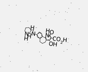 O=C(O)c1c(O)c2c([nH]c1=O)-c1ccc(N3C[C@H]4CCCN[C@H]4C3)cc1CCC2